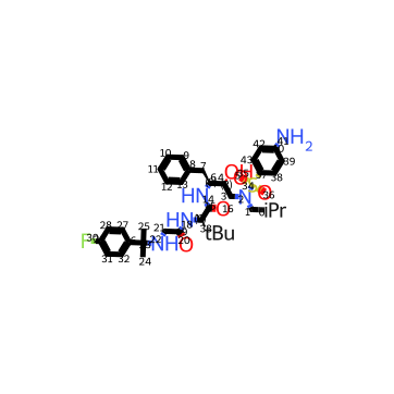 CC(C)CN(C[C@@H](O)[C@H](Cc1ccccc1)NC(=O)[C@@H](NC(=O)CNC(C)(C)c1ccc(F)cc1)C(C)(C)C)S(=O)(=O)c1ccc(N)cc1